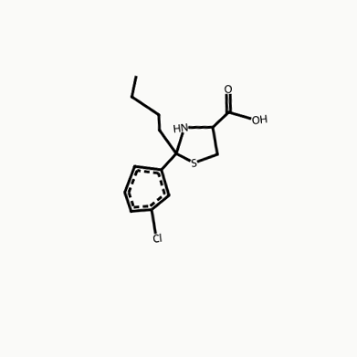 CCCCC1(c2cccc(Cl)c2)NC(C(=O)O)CS1